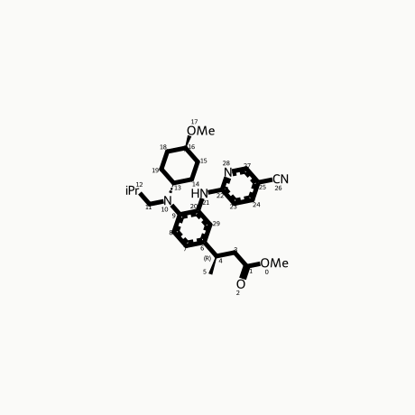 COC(=O)C[C@@H](C)c1ccc(N(CC(C)C)[C@H]2CC[C@H](OC)CC2)c(Nc2ccc(C#N)cn2)c1